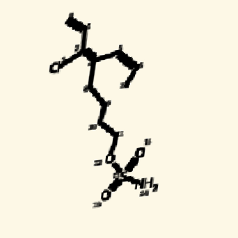 C=C/C(Cl)=C(\C=C/C)CCCCOS(N)(=O)=O